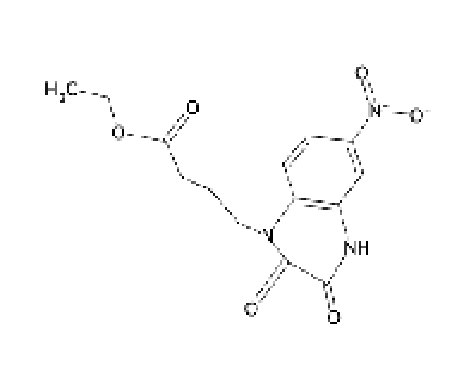 CCOC(=O)CCCn1c(=O)c(=O)[nH]c2cc([N+](=O)[O-])ccc21